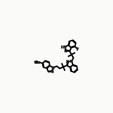 CC(C)(C)c1ccc2c(cnn2CCC(C)(C)c2nn(CC(C)(C)c3n[nH]c4cccc(F)c34)c3ccccc23)c1